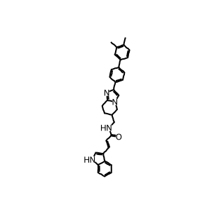 Cc1ccc(-c2ccc(-c3cn4c(n3)CCC(CNC(=O)/C=C/c3c[nH]c5ccccc35)C4)cc2)cc1C